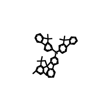 Cc1cc(C)c2c(c1)C(C)(C)CC21c2ccccc2-c2ccc(N(c3ccc4c(c3)C(C)(C)c3ccccc3-4)c3ccc4c(c3)C(C)(C)c3ccccc3-4)cc21